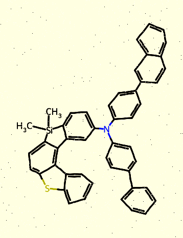 C[Si]1(C)c2ccc(N(c3ccc(-c4ccccc4)cc3)c3ccc(-c4ccc5ccccc5c4)cc3)cc2-c2c1ccc1sc3ccccc3c21